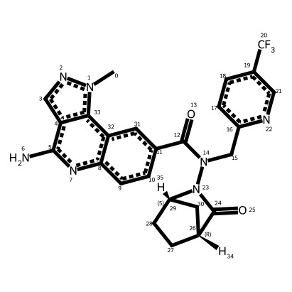 Cn1ncc2c(N)nc3ccc(C(=O)N(Cc4ccc(C(F)(F)F)cn4)N4C(=O)[C@@H]5CC[C@H]4C5)cc3c21